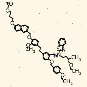 C=COCC(C)CCN(/N=C/c1cc(CCc2ccc(OCc3ccc4cc(OCCCOC5CO5)ccc4c3)c(OC)c2)ccc1OCc1ccc(OC=C)cc1)c1nc2ccccc2s1